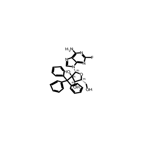 Nc1nc(F)nc2c1ncn2[C@@H]1O[C@H](CO)[C@@H](O)[C@]1(O)C(c1ccccc1)(c1ccccc1)c1ccccc1